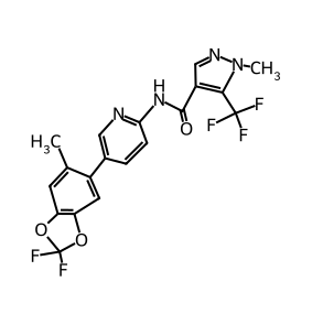 Cc1cc2c(cc1-c1ccc(NC(=O)c3cnn(C)c3C(F)(F)F)nc1)OC(F)(F)O2